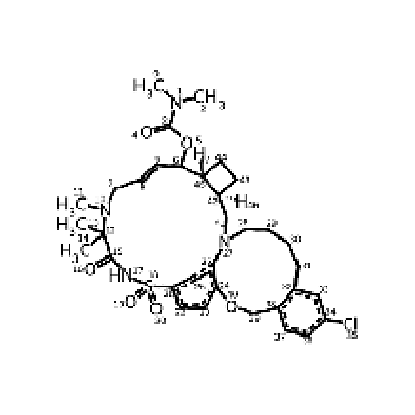 CN(C)C(=O)OC1/C=C/CN(C)C(C)(C)C(=O)NS(=O)(=O)c2ccc3c(c2)N(CCCCc2cc(Cl)ccc2CO3)C[C@@H]2CC[C@@H]12